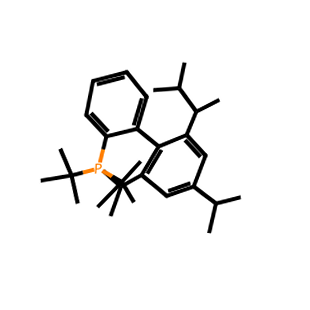 CC(C)c1cc(C(C)C)c(-c2ccccc2P(C(C)(C)C)C(C)(C)C)c(C(C)C(C)C)c1